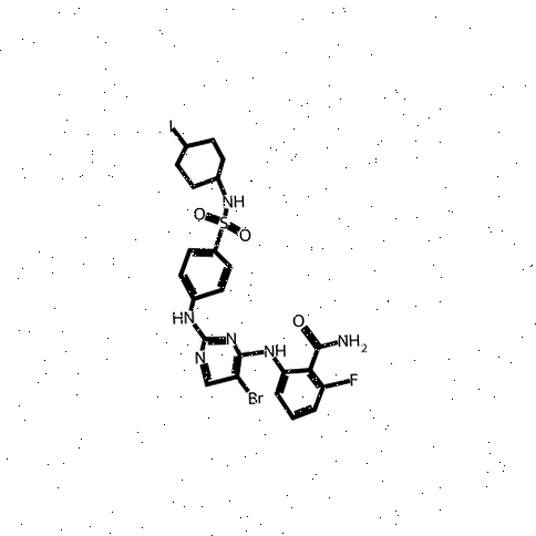 NC(=O)c1c(F)cccc1Nc1nc(Nc2ccc(S(=O)(=O)NC3CCC(I)CC3)cc2)ncc1Br